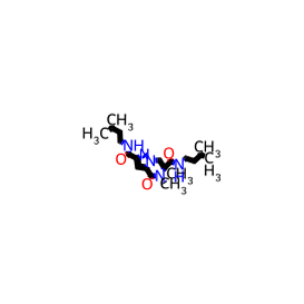 CC(C)CCNC(=O)c1cc2n(n1)CC(C)(C(=O)NCCC(C)C)N(C)C2=O